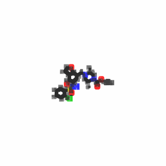 C[C@@H]1CN(Cc2cc(NS(=O)(=O)c3ccccc3Cl)cc3ccoc23)[C@@H](C)CN1C(=O)OC(C)(C)C